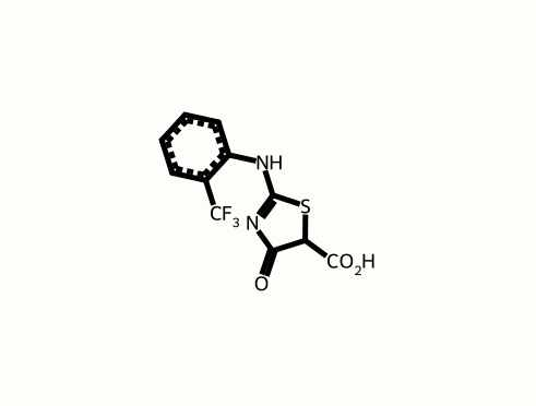 O=C(O)C1SC(Nc2ccccc2C(F)(F)F)=NC1=O